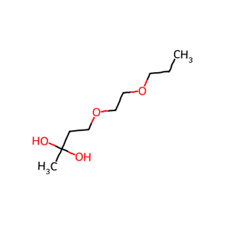 CCCOCCOCCC(C)(O)O